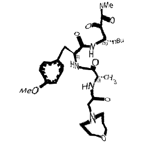 CCCC[C@H](NC(=O)[C@H](Cc1ccc(OC)cc1)NC(=O)[C@H](C)NC(=O)CN1CCOCC1)C(=O)C(=O)NC